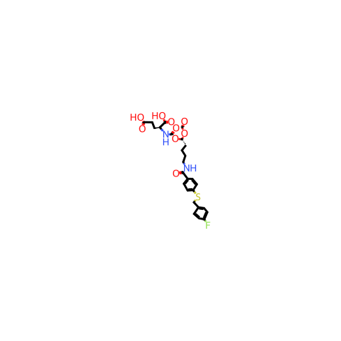 O=CO[C@H](CCCCNC(=O)c1ccc(SCc2ccc(F)cc2)cc1)OC(=O)N[C@@H](CCC(=O)O)C(=O)O